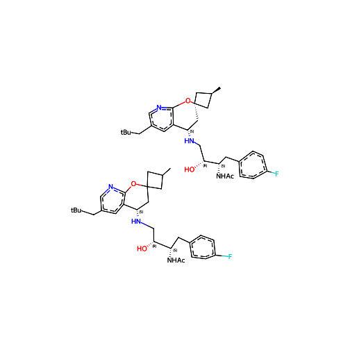 CC(=O)N[C@@H](Cc1ccc(F)cc1)[C@H](O)CN[C@H]1CC2(CC(C)C2)Oc2ncc(CC(C)(C)C)cc21.CC(=O)N[C@@H](Cc1ccc(F)cc1)[C@H](O)CN[C@H]1C[C@]2(C[C@H](C)C2)Oc2ncc(CC(C)(C)C)cc21